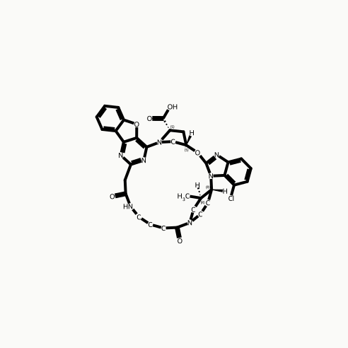 C[C@@H]1CN2CC[C@H]1n1c(nc3cccc(Cl)c31)O[C@H]1C[C@@H](C(=O)O)N(C1)c1nc(nc3c1oc1ccccc13)CC(=O)NCCCC2=O